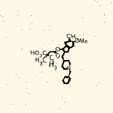 COc1cc2c(cc1C)C(OC(=O)CC(C)(C)C(=O)O)=C(CC1CCN(Cc3ccccc3)CC1)C2